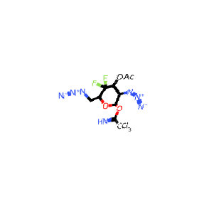 CC(=O)OC1C(N=[N+]=[N-])C(OC(=N)C(Cl)(Cl)Cl)OC(CN=[N+]=[N-])C1(F)F